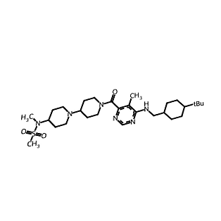 Cc1c(NCC2CCC(C(C)(C)C)CC2)ncnc1C(=O)N1CCC(N2CCC(N(C)S(C)(=O)=O)CC2)CC1